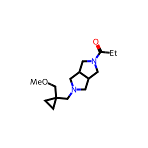 CCC(=O)N1CC2CN(CC3(COC)CC3)CC2C1